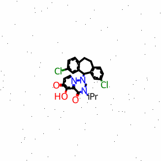 CC(C)N1CN(C2c3cc(Cl)ccc3CCc3ccc(Cl)cc32)n2ccc(=O)c(O)c2C1=O